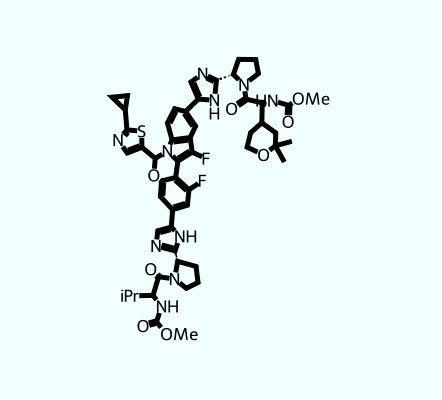 COC(=O)NC(C(=O)N1CCC[C@H]1c1ncc(-c2cc(F)c3c(c2)OC(c2cnc(C4CC4)s2)n2c-3c(F)c3cc(-c4cnc([C@@H]5CCCN5C(=O)C(NC(=O)OC)C5CCOC(C)(C)C5)[nH]4)ccc32)[nH]1)C(C)C